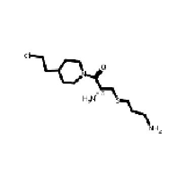 NCCCSC[C@H](N)C(=O)N1CCC(CCCl)CC1